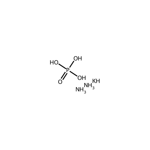 N.N.O=P(O)(O)O.[KH]